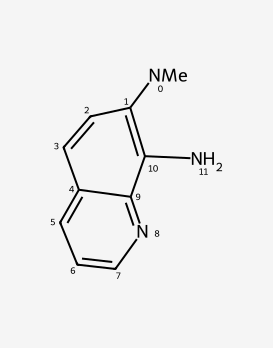 CNc1ccc2cccnc2c1N